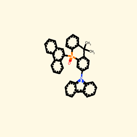 CC1(C)c2ccccc2P(=O)(c2cc3ccccc3c3ccccc23)c2cc(-n3c4ccccc4c4ccccc43)ccc21